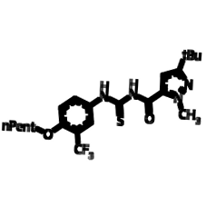 CCCCCOc1ccc(NC(=S)NC(=O)c2cc(C(C)(C)C)nn2C)cc1C(F)(F)F